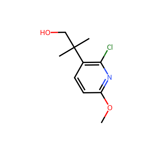 COc1ccc(C(C)(C)CO)c(Cl)n1